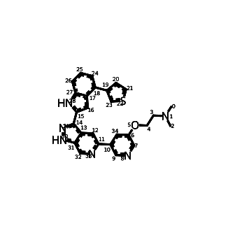 CN(C)CCOc1cncc(-c2cc3c(-c4cc5c(-c6ccsc6)cccc5[nH]4)n[nH]c3cn2)c1